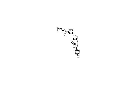 CN(C)CCNC(=O)c1cccc(-c2ccc(CN3C[C@@H](c4ccc(Cl)cc4)OC3=O)cc2)c1